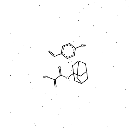 C=C(CCC)C(=O)OC12CC3CC(CC(C3)C1)C2.C=Cc1ccc(O)cc1